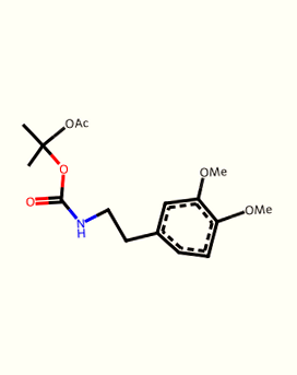 COc1ccc(CCNC(=O)OC(C)(C)OC(C)=O)cc1OC